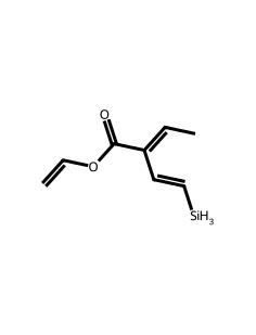 C=COC(=O)C(C=C[SiH3])=CC